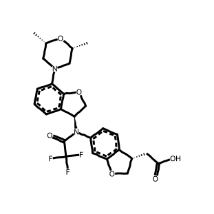 C[C@@H]1CN(c2cccc3c2OC[C@H]3N(C(=O)C(F)(F)F)c2ccc3c(c2)OC[C@H]3CC(=O)O)C[C@H](C)O1